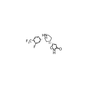 O=c1cc([C@H]2CCN[C@@H](c3ccc(C(F)(F)F)c(F)c3)C2)o[nH]1